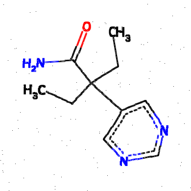 CCC(CC)(C(N)=O)c1cncnc1